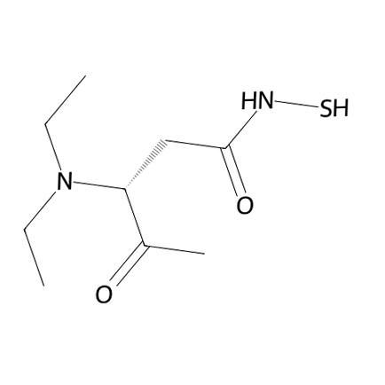 CCN(CC)[C@H](CC(=O)NS)C(C)=O